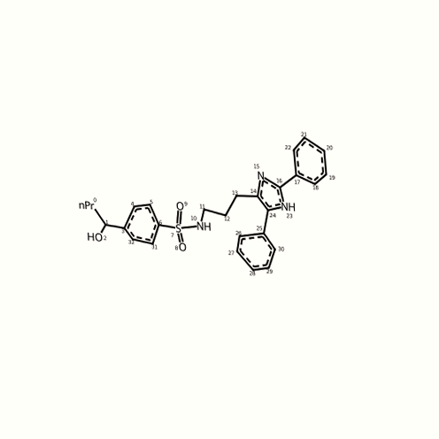 CCCC(O)c1ccc(S(=O)(=O)NCCCc2nc(-c3ccccc3)[nH]c2-c2ccccc2)cc1